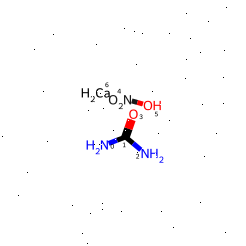 NC(N)=O.O=[N+]([O-])O.[CaH2]